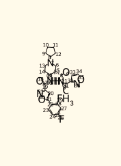 C[C@@H](NC(=O)[C@H]1CN(C2CCCC2)CC[C@@H]1NC(=O)c1cc(-c2ccc(F)cc2F)on1)c1ccon1